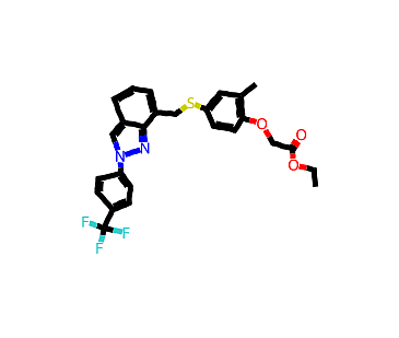 CCOC(=O)COc1ccc(SCc2cccc3cn(-c4ccc(C(F)(F)F)cc4)nc23)cc1C